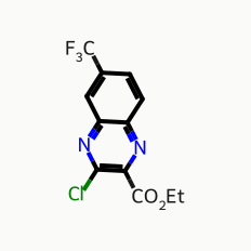 CCOC(=O)c1nc2ccc(C(F)(F)F)cc2nc1Cl